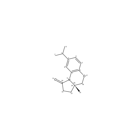 CC(C)c1ccc2c(c1)N1C(=O)CC[C@@]1(C)CO2